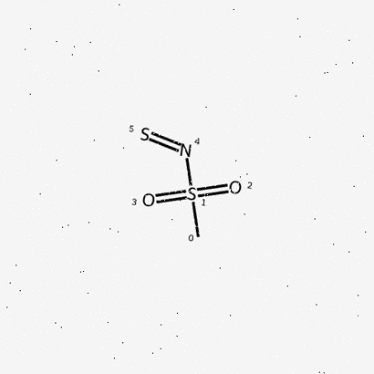 CS(=O)(=O)N=S